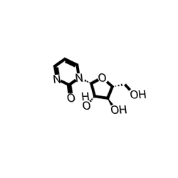 O=c1ncccn1[C@@H]1O[C@H](CO)[C@@H](O)[C@@H]1O